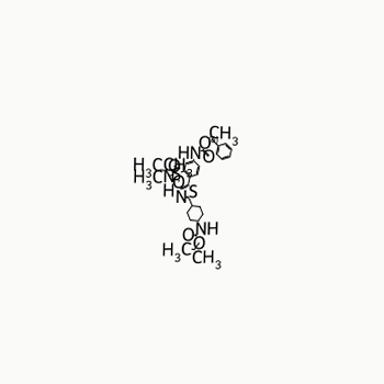 CC(C)OC(=O)NC1CCC(c2ncc(-c3ccc(NC(=O)O[C@@H](C)c4ccccc4)cc3S(=O)(=O)NC(C)(C)C)s2)CC1